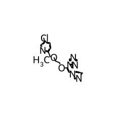 CC(OCCOC(=Cn1ccnc1)n1cncn1)c1ccc(Cl)cn1